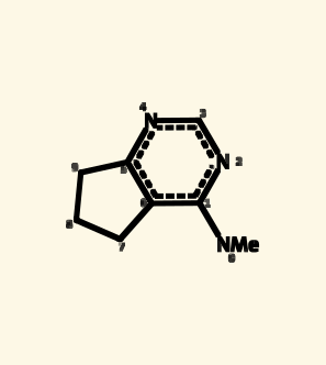 CNc1ncnc2c1CCC2